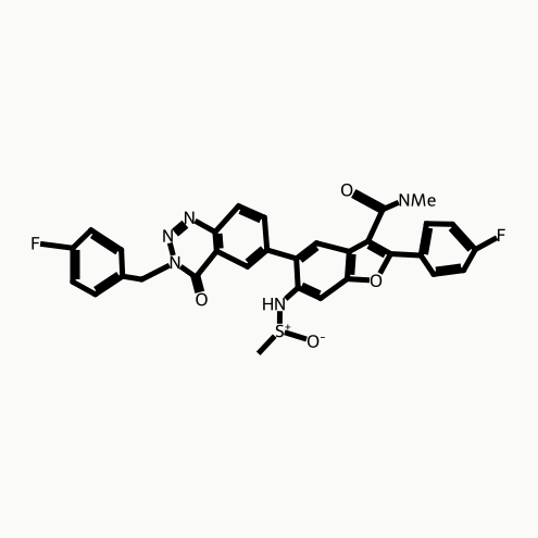 CNC(=O)c1c(-c2ccc(F)cc2)oc2cc(N[S+](C)[O-])c(-c3ccc4nnn(Cc5ccc(F)cc5)c(=O)c4c3)cc12